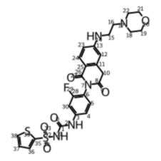 O=C(Nc1ccc(N2C(=O)Cc3cc(NCCN4CCOCC4)ccc3C2=O)c(F)c1)NS(=O)(=O)c1cccs1